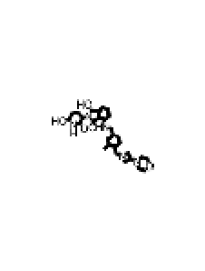 Cc1cc(CNc2cccc3c2C(=O)N(C2CCC(O)NC2=O)C3O)ccc1CN1CC(N2CCOCC2)C1